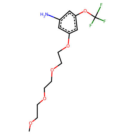 COCCOCCOCCOc1cc(N)cc(OC(F)(F)F)c1